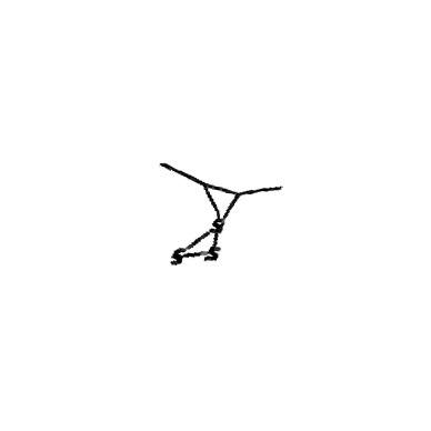 CC1C(C)[Si]12SS2